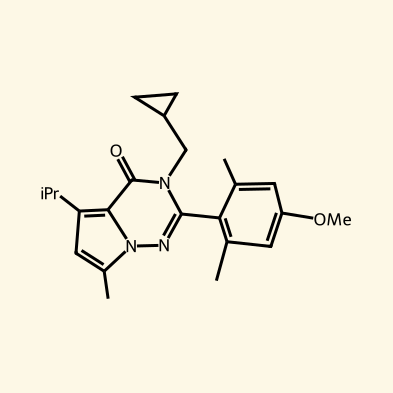 COc1cc(C)c(-c2nn3c(C)cc(C(C)C)c3c(=O)n2CC2CC2)c(C)c1